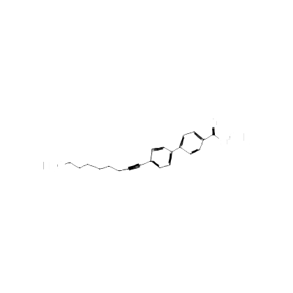 CCCCCCCC#Cc1ccc(-c2ccc(C(=O)OC)cc2)cc1